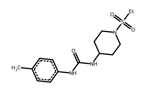 CCS(=O)(=O)N1CCC(NC(=O)Nc2ccc(C)cc2)CC1